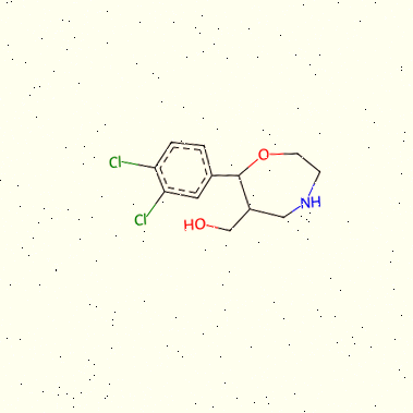 OCC1CNCCOC1c1ccc(Cl)c(Cl)c1